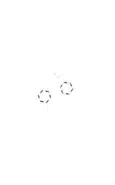 N#Cc1c(F)cccc1Sc1cccc(Br)c1